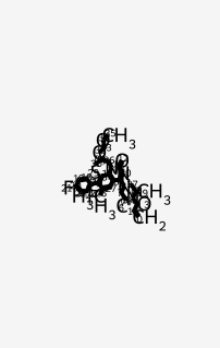 C=CC(=O)N1[C@H](C)CN(c2nc(=O)n3c4c(c(-c5ccc(F)cc5F)c(C)cc24)SC[C@@H](OCOC)C3)C[C@@H]1C